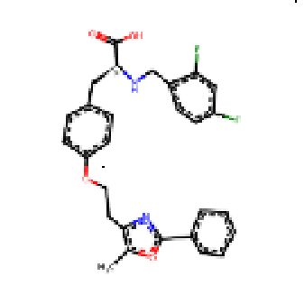 Cc1oc(-c2ccccc2)nc1CCOc1ccc(C[C@H](NCc2ccc(F)cc2F)C(=O)O)cc1